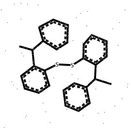 CC(c1ccccc1)c1ccccc1SSc1ccccc1C(C)c1ccccc1